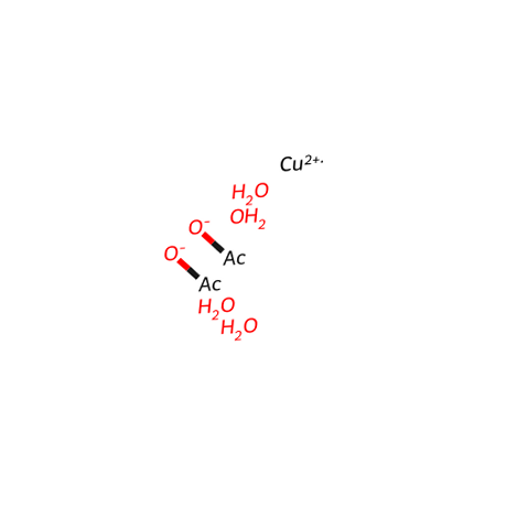 CC(=O)[O-].CC(=O)[O-].O.O.O.O.[Cu+2]